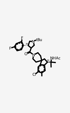 CC(=O)NC(C)(C)[C@@H]1CC2(CCN(C(=O)C3CN(C(C)(C)C)C[C@H]3c3ccc(F)cc3F)CC2)c2cc(Cl)c(C)cc21